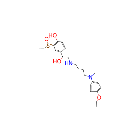 CCOc1ccc(N(C)CCCCNCC(O)c2ccc(O)c([S+]([O-])CC)c2)cc1